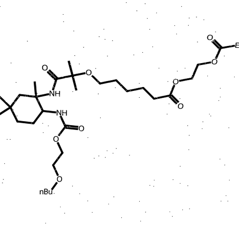 CCCCOCCOC(=O)NC1CCC(C)(C)CC1(C)NC(=O)C(C)(C)OCCCCCC(=O)OCCOC(=O)CC